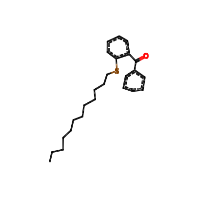 CCCCCCCCCCCCSc1ccccc1C(=O)c1ccccc1